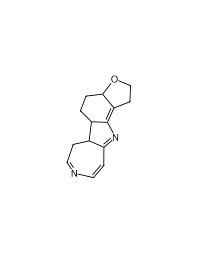 C1=CC2=NC3=C4CCOC4CCC3C2CC=N1